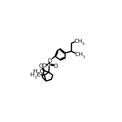 CCC(C)c1ccc(OS(=O)(=O)C23CCC(CC2=O)C3(C)C)cc1